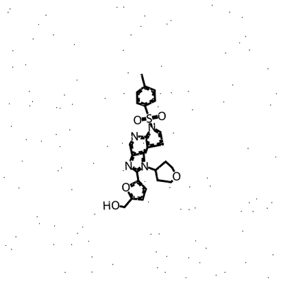 Cc1ccc(S(=O)(=O)n2ccc3c2ncc2nc(-c4ccc(CO)o4)n(C4CCOCC4)c23)cc1